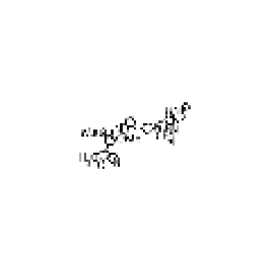 COc1cc(-c2cn(C)c(=O)c3cnccc23)cc(OC)c1CN1CCc2c(CC3CCN(c4ccc5c(N6CCC(=O)NC6=O)n[nH]c5c4C(F)(F)F)CC3)cccc2C1